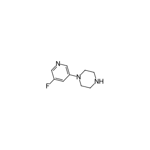 Fc1cncc(N2CCNCC2)c1